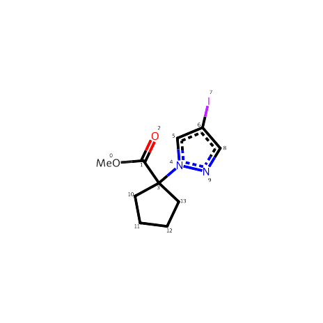 COC(=O)C1(n2cc(I)cn2)CCCC1